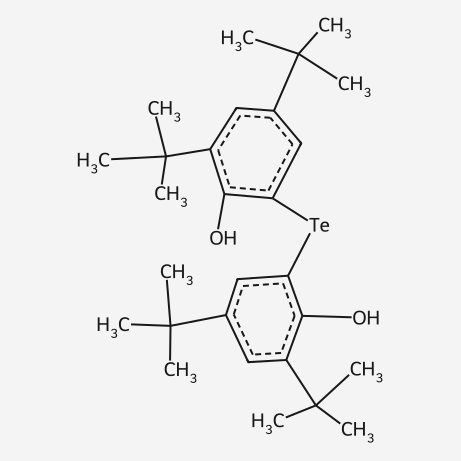 CC(C)(C)c1cc([Te]c2cc(C(C)(C)C)cc(C(C)(C)C)c2O)c(O)c(C(C)(C)C)c1